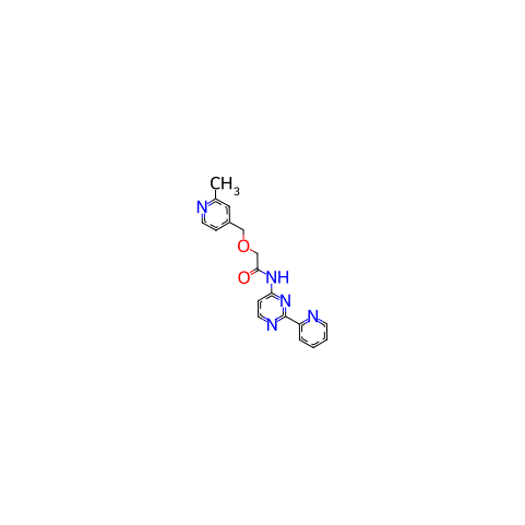 Cc1cc(COCC(=O)Nc2ccnc(-c3ccccn3)n2)ccn1